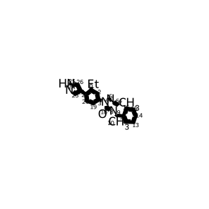 CCc1cc(-n2nc(C)n(C(C)c3ccccc3)c2=O)ccc1-c1cn[nH]c1